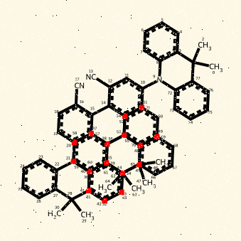 CC1(C)c2ccccc2N(c2cc(C#N)c(-c3c(C#N)ccc(N4c5ccccc5C(C)(C)c5ccccc54)c3N3c4ccccc4C(C)(C)c4ccccc43)c(N3c4ccccc4C(C)(C)c4ccccc43)c2)c2ccccc21